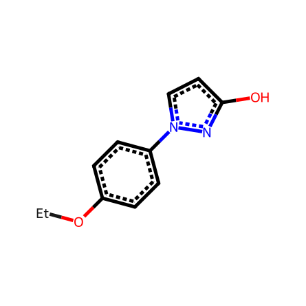 CCOc1ccc(-n2ccc(O)n2)cc1